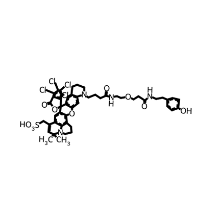 CC1(C)C=C(CS(=O)(=O)O)c2cc3c(c4c2N1CCC4)Oc1cc2c(cc1C31OC(=O)c3c(Cl)c(Cl)c(Cl)c(Cl)c31)CCCN2CCCC(=O)NCCOCCC(=O)NCCc1ccc(O)cc1